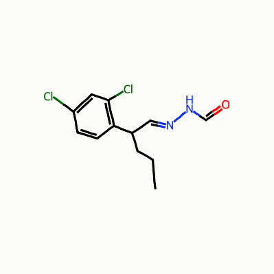 CCCC(C=NNC=O)c1ccc(Cl)cc1Cl